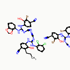 CCCc1c(C#N)ccc(N/C(=N\C#N)Nc2cccc(Cl)c2Cl)c1O.N#C/N=C(\Nc1ccc(C#N)c(Br)c1O)Nc1cccc2c1OCO2.N#C/N=C(\Nc1ccccc1Br)Nc1ccc(C#N)c(Br)c1O